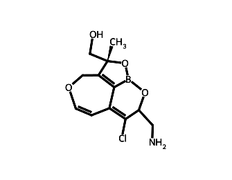 C[C@@]1(CO)OB2OC(CN)C(Cl)=C3C=COCC1=C23